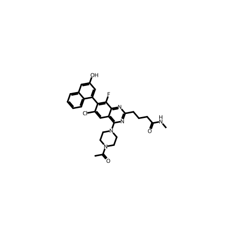 CNC(=O)CCCc1nc(N2CCN(C(C)=O)CC2)c2cc(Cl)c(-c3cc(O)cc4ccccc34)c(F)c2n1